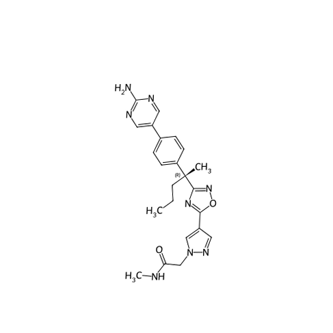 CCC[C@](C)(c1ccc(-c2cnc(N)nc2)cc1)c1noc(-c2cnn(CC(=O)NC)c2)n1